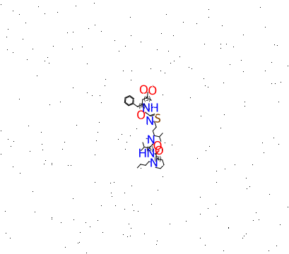 CCCCN1CCCC[C@@H]1C(=O)N[C@H](C(=O)N(C)C(CCc1nc(C(=O)N[C@@H](Cc2ccccc2)C[C@H](C)C(=O)OC)cs1)C(C)C)C(C)C